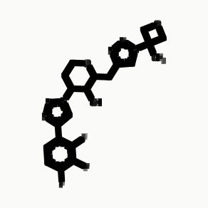 CC1(n2cc(CC3OCCC(n4cc(-c5ccc(F)c(F)c5F)nn4)C3O)nn2)COC1